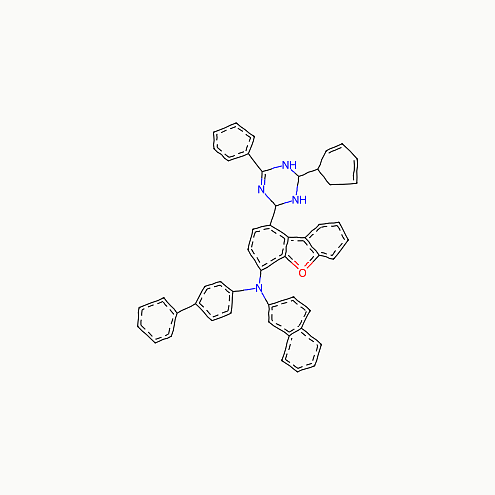 C1=CCC(C2NC(c3ccccc3)=NC(c3ccc(N(c4ccc(-c5ccccc5)cc4)c4ccc5ccccc5c4)c4oc5ccccc5c34)N2)C=C1